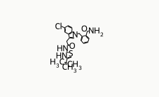 CC(C)(C)C1=CSC(NC(=O)Cc2cn(Cc3ccccc3C(N)=O)c3ccc(Cl)cc23)N1